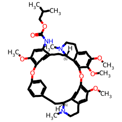 COc1cc(NC(=O)OCC(C)C)c2cc1Oc1ccc(cc1)C[C@H]1c3cc(c(OC)cc3CCN1C)Oc1c(OC)c(OC)cc3c1[C@H](C2)N(C)CC3